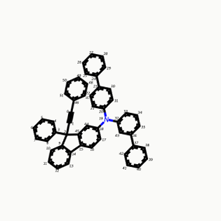 C(#CC1(c2ccccc2)c2ccccc2-c2ccc(N(c3ccc(-c4ccccc4)cc3)c3cccc(-c4ccccc4)c3)cc21)c1ccccc1